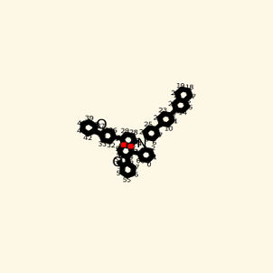 c1ccc(N(c2ccc(-c3ccc(-c4ccc5ccccc5c4)cc3)cc2)c2ccc(-c3ccc4c(c3)oc3ccccc34)cc2)c(-c2cccc3oc4ccccc4c23)c1